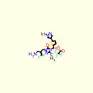 CCn1cc(-c2ccc(Cn3c(C)nn(CC(CN)=C(F)F)c3=O)s2)cn1.O=C(O)C(F)(F)F